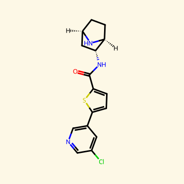 O=C(N[C@@H]1C[C@H]2CC[C@@H]1N2)c1ccc(-c2cncc(Cl)c2)s1